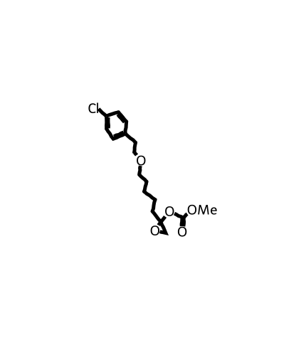 COC(=O)OC1(CCCCCOCCc2ccc(Cl)cc2)CO1